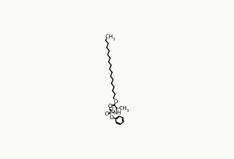 CCCCCCCCCCCCCCCCCCOC(=O)[C@H](C)NP(=O)(Cl)Oc1ccccc1